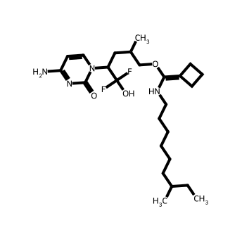 CCC(C)CCCCCCNC(OCC(C)CC(n1ccc(N)nc1=O)C(O)(F)F)=C1CCC1